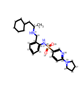 C[C@@H](CC1CCCCC1)NCc1ccccc1NS(=O)(=O)c1ccc(N2CCCC2)nc1